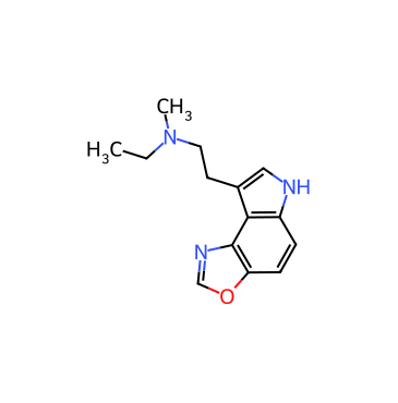 CCN(C)CCc1c[nH]c2ccc3ocnc3c12